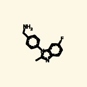 Cc1nc2ccc(F)cc2n1-c1ccc(CN)cc1